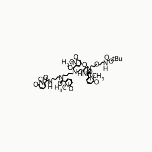 Cn1c(C(=O)NCCCN(CCCCN(CC[C@H](NC(=O)c2cccc(=O)n2C)C(=O)NCCOCCNC(=O)OC(C)(C)C)C(=O)c2cccc(=O)n2C)C(=O)c2cccc(=O)n2C)cccc1=O